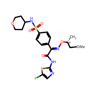 COC[C@@H](C)O/N=C(/C(=O)Nc1ncc(F)s1)c1ccc(S(=O)(=O)NC2CCOCC2)cc1